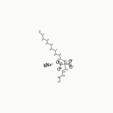 CCCCCCCCCCCCC(CCCCC)(C(=O)[O-])C(=O)[O-].[K+].[Na+]